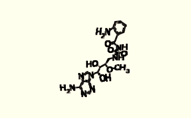 CO[C@H](CNS(=O)(=O)NC(=O)c1ccccc1N)[C@@H](O)[C@@H](O)n1cnc2c(N)ncnc21